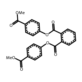 COC(=O)c1ccc(OC(=O)c2ccccc2C(=O)Oc2ccc(C(=O)OC)cc2)cc1